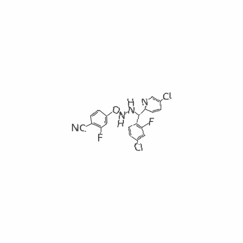 N#Cc1ccc(ONNC(c2ccc(Cl)cn2)c2ccc(Cl)cc2F)cc1F